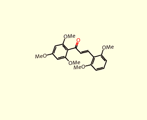 COc1cc(OC)c(C(=O)C=Cc2c(OC)cccc2OC)c(OC)c1